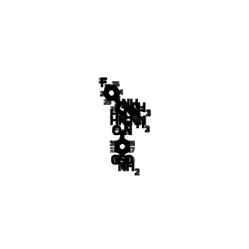 CC(C)(C)N/C(=N/C(=O)c1ccc(S(N)(=O)=O)cc1)NC1CC(c2ccc(F)cc2)NN1